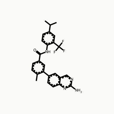 Cc1ccc(C(=O)Nc2ccc(C(C)C)cc2C(F)(F)F)cc1-c1ccc2nc(N)ncc2c1